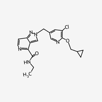 CCNC(=O)c1nccc2nn(Cc3cnc(OCC4CC4)c(Cl)c3)cc12